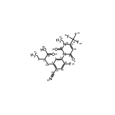 CCC(Sc1cc(-n2c(=O)cc(C(F)(F)F)n(C)c2=O)c(F)cc1C#N)C(=O)O